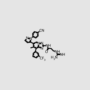 Cc1c(-c2ccnn2-c2ccc(C#N)cc2)cn2nc(NC(=O)CCNC(=N)N)nc2c1-c1cccc(C(F)(F)F)c1